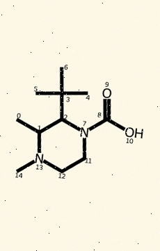 CC1C(C(C)(C)C)N(C(=O)O)CCN1C